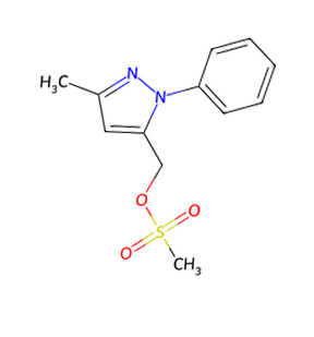 Cc1cc(COS(C)(=O)=O)n(-c2ccccc2)n1